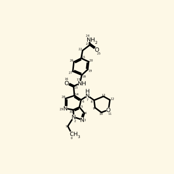 CCn1ncc2c(NC3CCOCC3)c(C(=O)Nc3ccc(CC(N)=O)cc3)cnc21